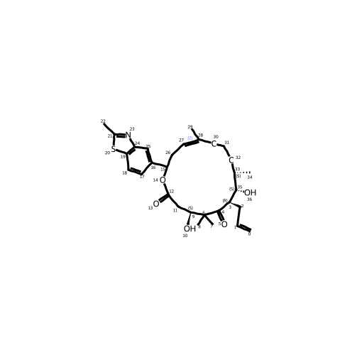 C=CC[C@H]1C(=O)C(C)(C)[C@@H](O)CC(=O)OC(c2ccc3sc(C)nc3c2)C/C=C(/C)CCC[C@H](C)[C@@H]1O